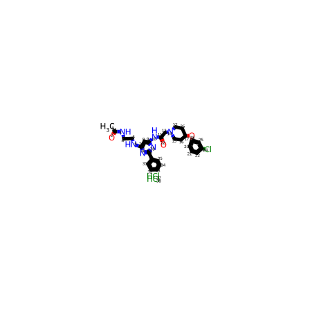 CC(=O)NCCNc1cc(NC(=O)CN2CCC(Oc3cccc(Cl)c3)CC2)nc(-c2ccccc2)n1.Cl.Cl